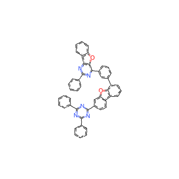 c1ccc(-c2nc(-c3ccccc3)nc(-c3ccc4c(c3)oc3c(-c5cccc(-c6nc(-c7ccccc7)nc7c6oc6ccccc67)c5)cccc34)n2)cc1